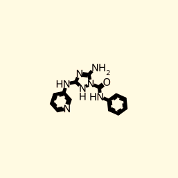 NC1=NC(Nc2cccnc2)NN1C(=O)Nc1ccccc1